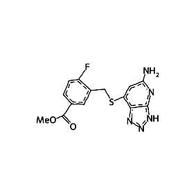 COC(=O)c1ccc(F)c(CSc2cc(N)nc3[nH]nnc23)c1